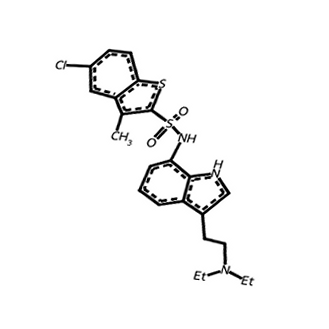 CCN(CC)CCc1c[nH]c2c(NS(=O)(=O)c3sc4ccc(Cl)cc4c3C)cccc12